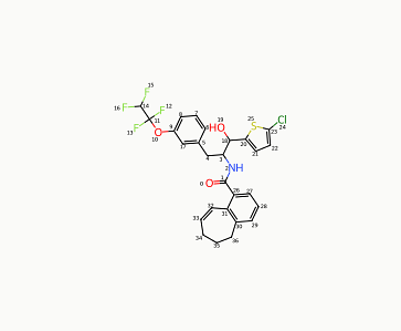 O=C(NC(Cc1cccc(OC(F)(F)C(F)F)c1)C(O)c1ccc(Cl)s1)c1cccc2c1C=CCCC2